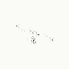 C=CC(=O)OCCCOC1CCC(C(=O)Oc2ccc(OC(=O)C3CCC(OCCCOC(=O)C=C)CC3)c(/C=N/Nc3nc4ccccc4s3)c2)CC1